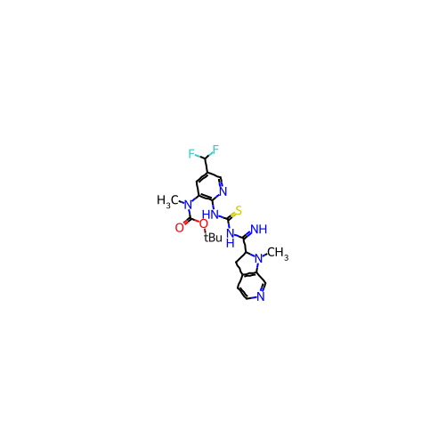 CN(C(=O)OC(C)(C)C)c1cc(C(F)F)cnc1NC(=S)NC(=N)C1Cc2ccncc2N1C